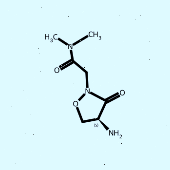 CN(C)C(=O)CN1OC[C@H](N)C1=O